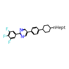 CCCCCCCC1CCC(c2ccc(-c3cnc(-c4cc(F)c(F)c(F)c4)nc3)cc2)CC1